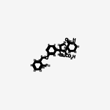 CC(C)(C)[C@]1(c2cccc(OCc3ccccc3F)c2)CC[C@]2(CCCNC2=O)N1C(=O)O